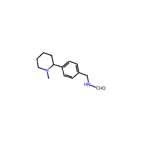 CN1CCCCC1c1ccc(CNC=O)cc1